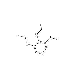 [CH2]Sc1cccc(OCC)c1OCC